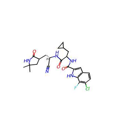 CC1(C)CC(C[C@@H](C#N)NC(=O)C(CC2CC2)NC(=O)c2cc3ccc(Cl)c(F)c3[nH]2)C(=O)N1